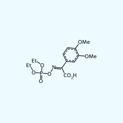 CCOP(=O)(OCC)O/N=C(\C(=O)O)c1ccc(OC)c(OC)c1